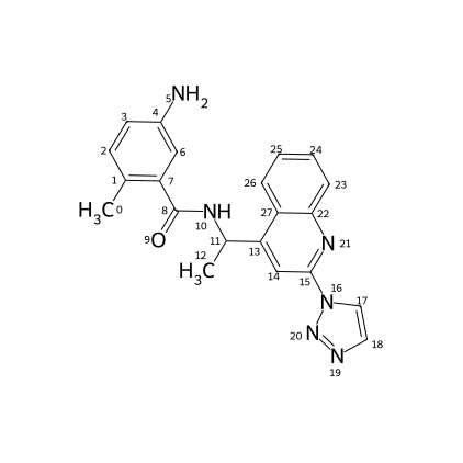 Cc1ccc(N)cc1C(=O)NC(C)c1cc(-n2ccnn2)nc2ccccc12